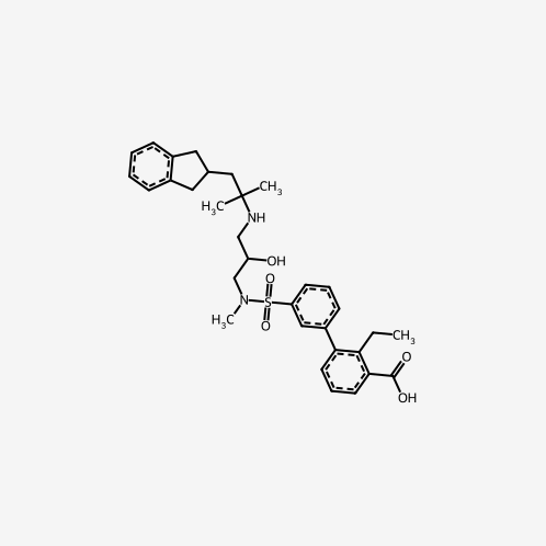 CCc1c(C(=O)O)cccc1-c1cccc(S(=O)(=O)N(C)CC(O)CNC(C)(C)CC2Cc3ccccc3C2)c1